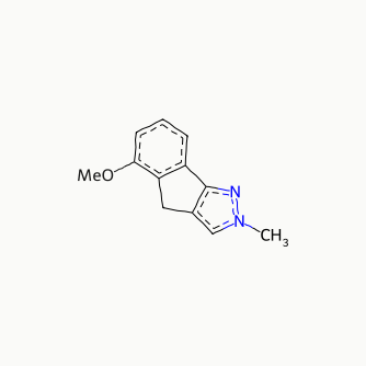 COc1cccc2c1Cc1cn(C)nc1-2